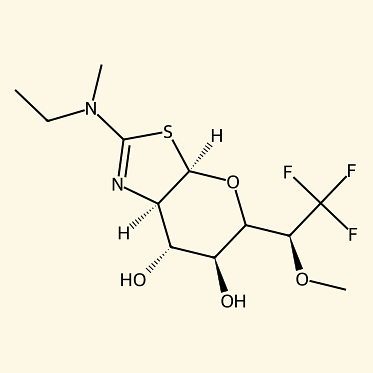 CCN(C)C1=N[C@@H]2[C@@H](O)[C@H](O)C([C@H](OC)C(F)(F)F)O[C@@H]2S1